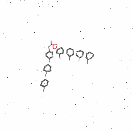 CC(=O)Cc1ccc(C)cc1.Cc1ccccc1.Cc1ccccc1.Cc1ccccc1.Cc1ccccc1.Cc1ccccc1.Cc1ccccc1